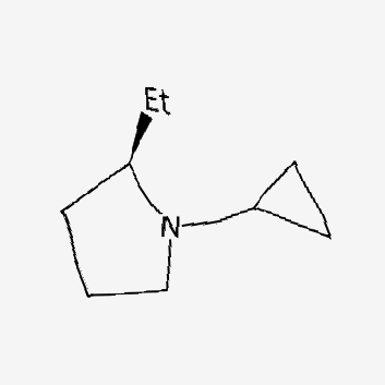 CC[C@@H]1CCCN1C1CC1